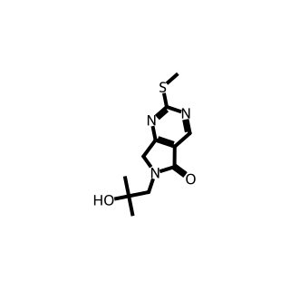 CSc1ncc2c(n1)CN(CC(C)(C)O)C2=O